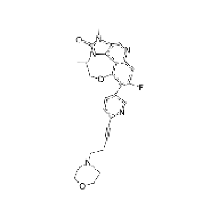 CC1COc2c(-c3ccc(C#CCCN4CCOCC4)nc3)c(F)cc3ncc4c(c23)n1c(=O)n4C